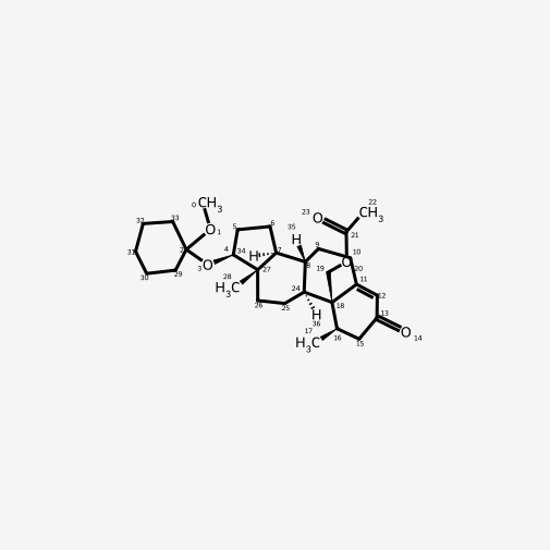 COC1(O[C@H]2CC[C@H]3[C@@H]4CCC5=CC(=O)C[C@@H](C)[C@]5(COC(C)=O)[C@H]4CC[C@]23C)CCCCC1